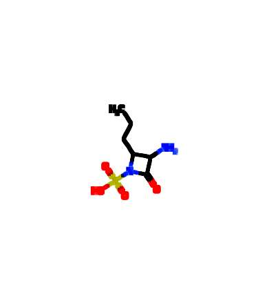 CCCC1C(N)C(=O)N1S(=O)(=O)O